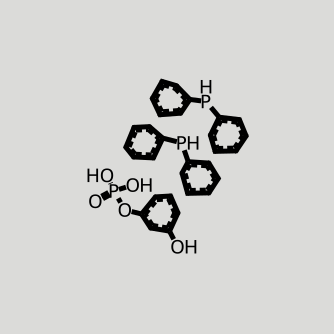 O=P(O)(O)Oc1cccc(O)c1.c1ccc(Pc2ccccc2)cc1.c1ccc(Pc2ccccc2)cc1